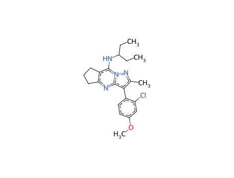 CCC(CC)Nc1c2c(nc3c(-c4ccc(OC)cc4Cl)c(C)nn13)CCC2